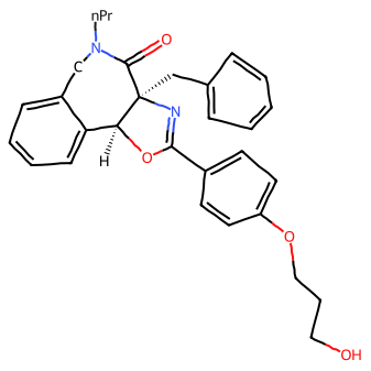 CCCN1Cc2ccccc2[C@@H]2OC(c3ccc(OCCCO)cc3)=N[C@]2(Cc2ccccc2)C1=O